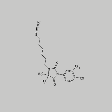 CC1(C)C(=O)N(c2ccc(C#N)c(C(F)(F)F)c2)C(=S)N1CCCCCCN=[N+]=[N-]